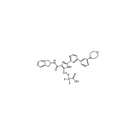 Cc1[nH]c(-c2cc(-c3cncc(N4CCOCC4)c3)ccn2)nc1C(=O)NC1Cc2ccccc2C1.O=C(O)C(F)(F)F